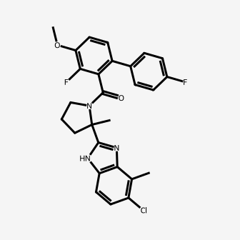 COc1ccc(-c2ccc(F)cc2)c(C(=O)N2CCCC2(C)c2nc3c(C)c(Cl)ccc3[nH]2)c1F